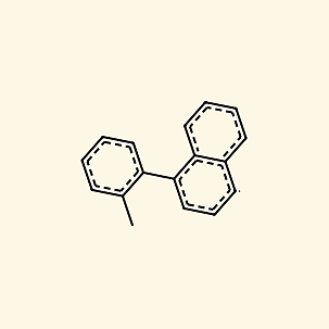 Cc1ccccc1-c1cc[c]c2ccccc12